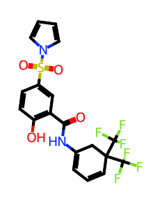 O=C(NC1=CC=CC(C(F)(F)F)(C(F)(F)F)C1)c1cc(S(=O)(=O)n2cccc2)ccc1O